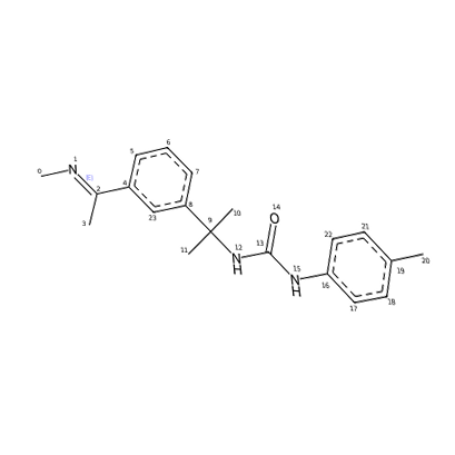 C/N=C(\C)c1cccc(C(C)(C)NC(=O)Nc2ccc(C)cc2)c1